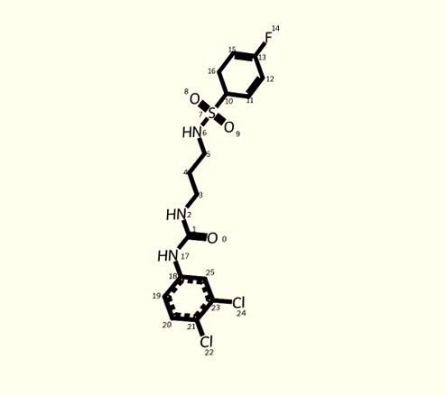 O=C(NCCCNS(=O)(=O)C1C=CC(F)=CC1)Nc1ccc(Cl)c(Cl)c1